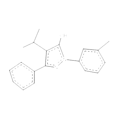 Cc1cccc(-n2nc(-c3ccccc3)c(C(C)C)c2O)c1